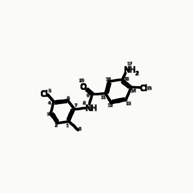 Cc1ccc(Cl)cc1NC(=O)c1ccc(Cl)c(N)c1